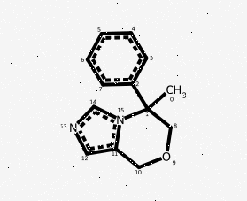 CC1(c2ccccc2)COCc2cncn21